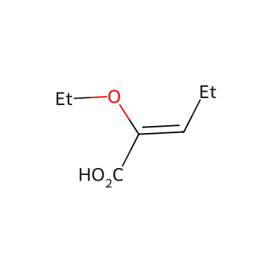 CCC=C(OCC)C(=O)O